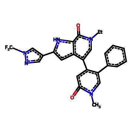 CCn1cc(-c2cc(=O)n(C)cc2-c2ccccc2)c2cc(-c3cnn(C(F)(F)F)c3)[nH]c2c1=O